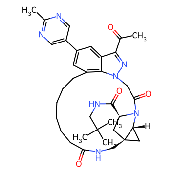 CC(=O)c1nn2c3c(cc(-c4cnc(C)nc4)cc13)CCCCCCC(=O)NC[C@@]13C[C@@H](C(=O)NCC(C)(C)C)N(C(=O)C2)[C@@H]1C3